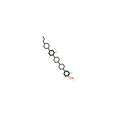 CCCC1CCC(c2cc(F)c(C3CCC(C4CCC(c5cc(F)c(OCF)c(F)c5)CC4)CC3)c(F)c2)CC1